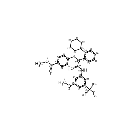 COC(=O)c1ccc(CN(C(=O)Nc2cc(OC)cc(C(F)(F)F)c2)c2ccccc2C2CCCCC2)cc1